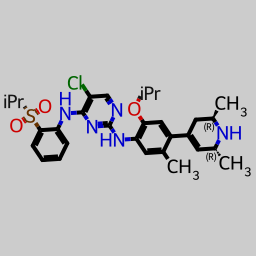 Cc1cc(Nc2ncc(Cl)c(Nc3ccccc3S(=O)(=O)C(C)C)n2)c(OC(C)C)cc1C1=C[C@@H](C)N[C@H](C)C1